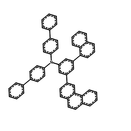 c1ccc(-c2ccc(N(c3ccc(-c4ccccc4)cc3)c3cc(-c4ccc5ccc6ccccc6c5c4)cc(-c4cccc5ccccc45)c3)cc2)cc1